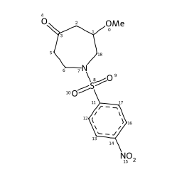 COC1CC(=O)CCN(S(=O)(=O)c2ccc([N+](=O)[O-])cc2)C1